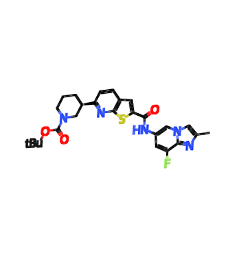 Cc1cn2cc(NC(=O)c3cc4ccc([C@@H]5CCCN(C(=O)OC(C)(C)C)C5)nc4s3)cc(F)c2n1